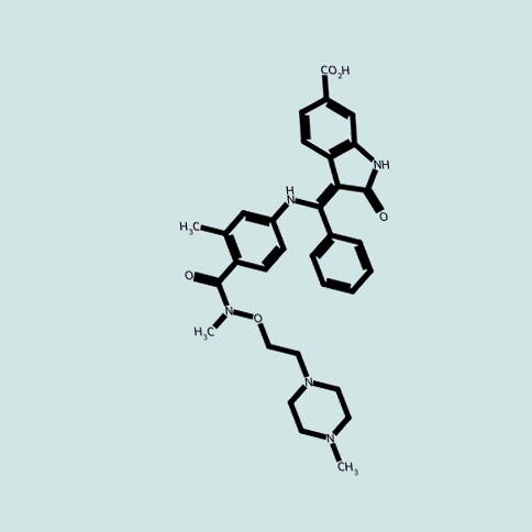 Cc1cc(NC(=C2C(=O)Nc3cc(C(=O)O)ccc32)c2ccccc2)ccc1C(=O)N(C)OCCN1CCN(C)CC1